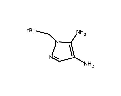 CC(C)(C)Cn1ncc(N)c1N